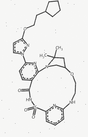 CC1(C)CC2CN1c1nc(-n3ccc(OCCC4CCCC4)n3)ccc1C(=O)NS(=O)(=O)c1cccc(n1)NCCO2